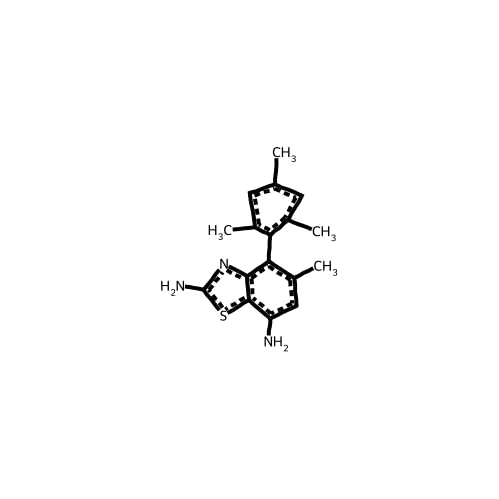 Cc1cc(C)c(-c2c(C)cc(N)c3sc(N)nc23)c(C)c1